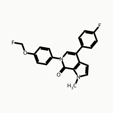 Cn1ccc2c(-c3ccc(F)cc3)cn(-c3ccc(OCF)cc3)c(=O)c21